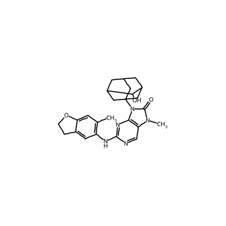 Cc1cc2c(cc1Nc1ncc3c(n1)n(C14CC5CC(C1)C(O)C(C5)C4)c(=O)n3C)CCO2